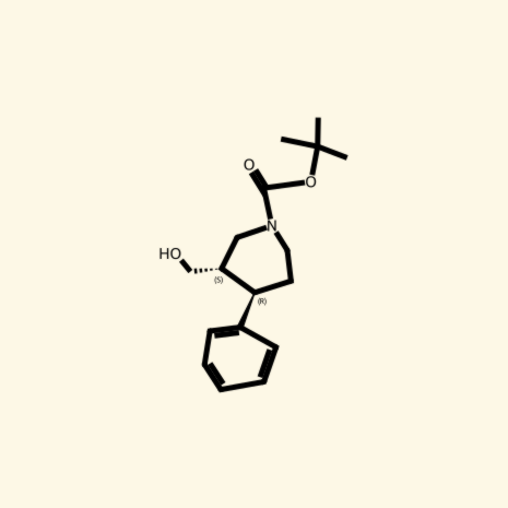 CC(C)(C)OC(=O)N1CC[C@@H](c2ccccc2)[C@H](CO)C1